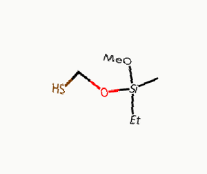 CC[Si](C)(OC)OCS